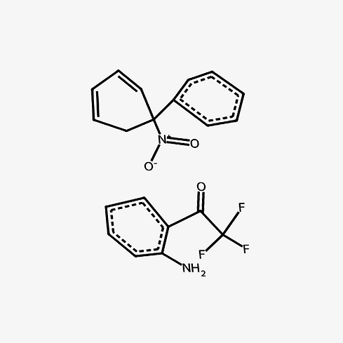 Nc1ccccc1C(=O)C(F)(F)F.O=[N+]([O-])C1(c2ccccc2)C=CC=CC1